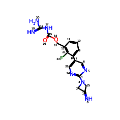 N=C1CN(c2ncc(-c3cccc(COC(=O)NC(=N)N)c3F)cn2)C1